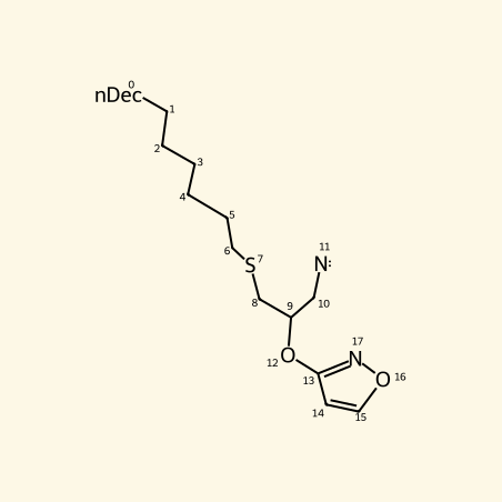 CCCCCCCCCCCCCCCCSCC(C[N])Oc1ccon1